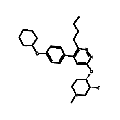 CCCCc1nnc(O[C@H]2CCN(C)C[C@H]2F)cc1-c1ccc(OC2CCCCC2)cc1